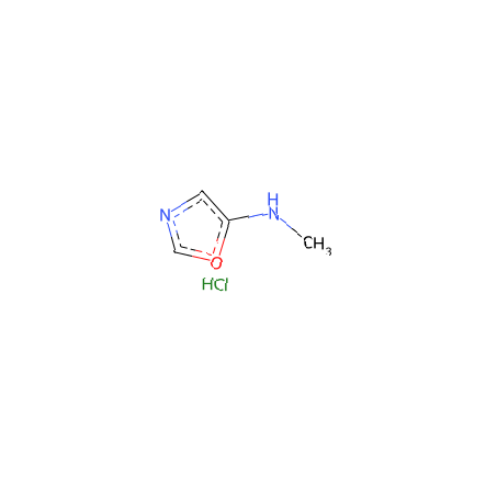 CNc1cnco1.Cl